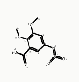 COc1cc(N=S(=O)=O)cc(C(=O)O)c1OC